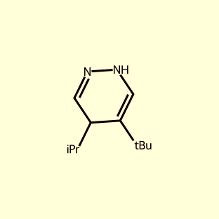 CC(C)C1C=NNC=C1C(C)(C)C